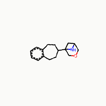 c1ccc2c(c1)CCC(C13COCC(C1)N3)CC2